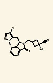 Cn1ncc(Cl)c1CC1c2ccccc2C(=O)N1CC1CC(O)(C#N)C1